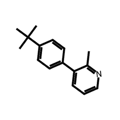 Cc1ncccc1-c1ccc(C(C)(C)C)cc1